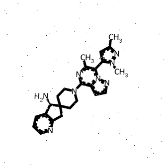 Cc1cc(-c2c(C)nc(N3CCC4(CC3)Cc3ncccc3[C@H]4N)c3ccnn23)n(C)n1